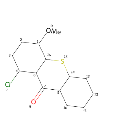 COC1CCC(Cl)C2C(=O)C3CCCCC3SC12